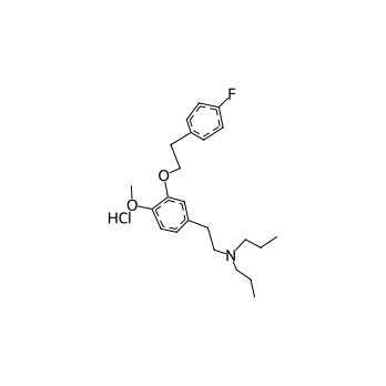 CCCN(CCC)CCc1ccc(OC)c(OCCc2ccc(F)cc2)c1.Cl